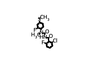 CSc1ccc(N(C)C(=O)NC(=O)c2c(F)cccc2Cl)c(F)c1